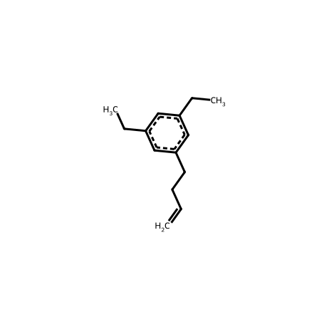 C=CCCc1cc(CC)cc(CC)c1